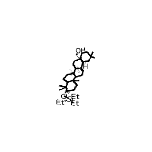 CC[Si](CC)(CC)O[C@H]1CCC2(C)C(CC[C@]3(C)C2CC=C2[C@@H]4CC(C)(C)CC[C@]4(CO)CC[C@@]23C)C1(C)C